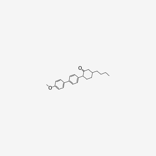 CCCCC1CCC(c2ccc(-c3ccc(OC)cc3)cc2)C(=O)C1